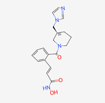 O=C(C=Cc1ccccc1C(=O)N1CCC[C@H](Cn2ccnc2)C1)NO